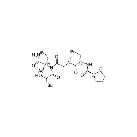 CCC(C)C(O)C(=O)N(C(=O)CNC(=O)[C@H](CC(C)C)NC(=O)[C@@H]1CCCN1)[C@](CC(C)C)(C(C)=O)C(N)=O